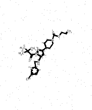 C=CCOC(=O)N1CCC(c2cc(NCc3ccc(Cl)s3)n(C(=O)C(C)(C)C)n2)CC1